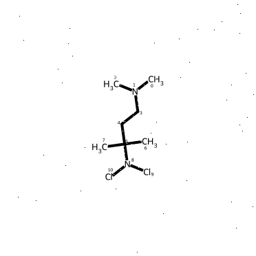 CN(C)CCC(C)(C)N(Cl)Cl